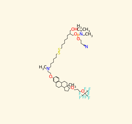 CCN(C(C)C)P(OCCC#N)OCC(CO)CCCCCCSSCCCCCCN(C)CCOc1ccc2c(c1)CCC1C2CCC2(C)C(OCCCOC(C(F)(F)F)(C(F)(F)F)C(F)(F)F)CCC12